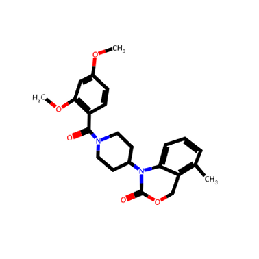 COc1ccc(C(=O)N2CCC(N3C(=O)OCc4c(C)cccc43)CC2)c(OC)c1